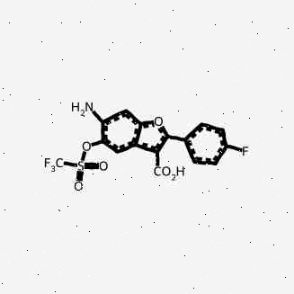 Nc1cc2oc(-c3ccc(F)cc3)c(C(=O)O)c2cc1OS(=O)(=O)C(F)(F)F